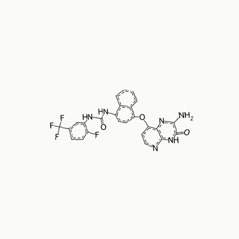 Nc1nc2c(Oc3ccc(NC(=O)Nc4cc(C(F)(F)F)ccc4F)c4ccccc34)ccnc2[nH]c1=O